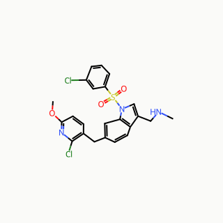 CNCc1cn(S(=O)(=O)c2cccc(Cl)c2)c2cc(Cc3ccc(OC)nc3Cl)ccc12